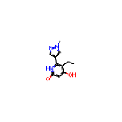 CCc1c(O)cc(=O)[nH]c1-c1cnn(C)c1